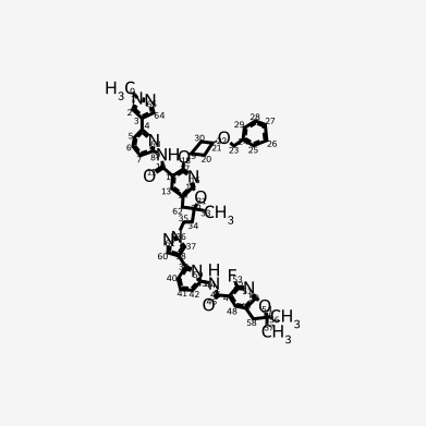 Cn1cc(-c2cccc(NC(=O)c3cc4c(nc3O[C@H]3C[C@@H](OCc5ccccc5)C3)OC(C)(CCn3cc(-c5cccc(NC(=O)c6cc7c(nc6F)OC(C)(C)C7)n5)cn3)C4)n2)cn1